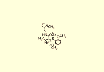 C=C(S/C(C(=O)NCCC1CCCN1C)=C(/C)N)c1c(OC)cccc1OC